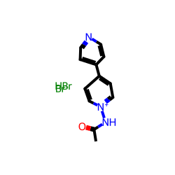 Br.CC(=O)N[n+]1ccc(-c2ccncc2)cc1.[Br-]